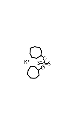 S=P([S-])(OC1CCCCCCC1)OC1CCCCCCC1.[K+]